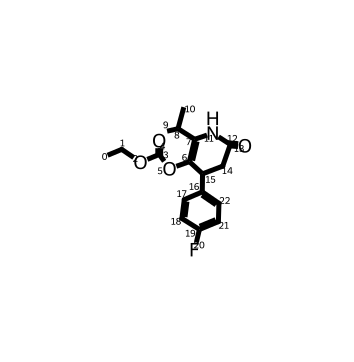 CCOC(=O)OC1=C(C(C)C)NC(=O)CC1c1ccc(F)cc1